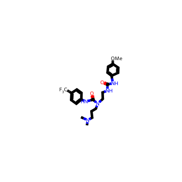 COc1ccc(NC(=O)NCCN(CCCN(C)C)C(=O)Nc2ccc(C(F)(F)F)cc2)cc1